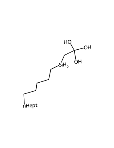 CCCCCCCCCCCC[SiH2]CC(O)(O)O